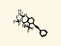 NC1=NC2=C(C(N)N1C(F)(F)F)C(C(F)(F)F)C(C#Cc1ccccc1)CC2